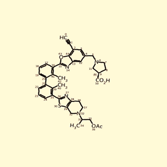 C#Cc1cc(CN2CC[C@@H](C(=O)O)C2)cc2nc(-c3cccc(-c4cccc(-c5nc6c(s5)CN(C(C)COC(C)=O)CC6)c4C)c3C)oc12